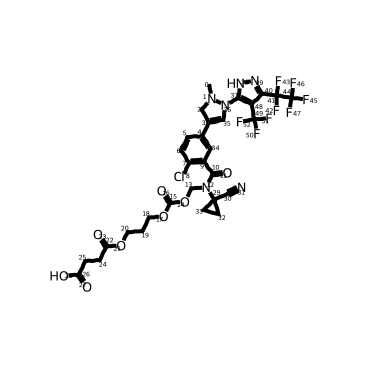 CN1CC(c2ccc(Cl)c(C(=O)N(COC(=O)OCCCOC(=O)CCC(=O)O)C3(C#N)CC3)c2)=CN1c1[nH]nc(C(F)(F)C(F)(F)F)c1C(F)(F)F